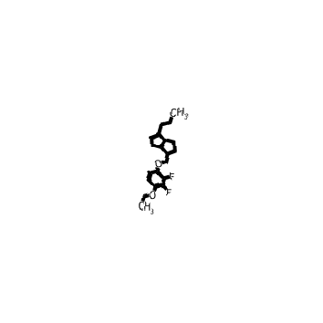 CCCC1=CCC2C(COc3ccc(OCC)c(F)c3F)CCC12